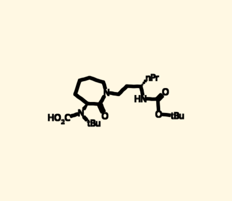 CCC[C@@H](CCN1CCCC[C@H](N(C(=O)O)C(C)(C)C)C1=O)NC(=O)OC(C)(C)C